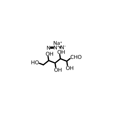 O=CC(O)C(O)C(O)C(O)CO.[N-]=[N+]=[N-].[Na+]